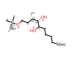 CCCCCCCCCCCCCCC(O)[C@@H](O)[C@@H](C)CCO[Si](C)(C)C(C)(C)C